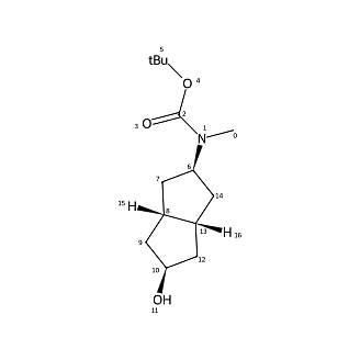 CN(C(=O)OC(C)(C)C)[C@@H]1C[C@H]2C[C@H](O)C[C@H]2C1